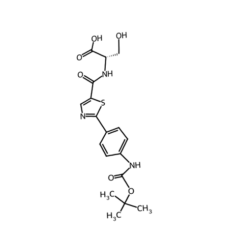 CC(C)(C)OC(=O)Nc1ccc(-c2ncc(C(=O)N[C@@H](CO)C(=O)O)s2)cc1